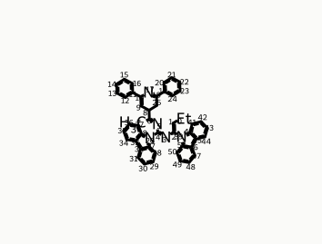 CC/C=C(/N=C(\N=C(/C)C1C=C(c2ccccc2)N=C(c2ccccc2)C1)n1c2ccccc2c2ccccc21)n1c2ccccc2c2ccccc21